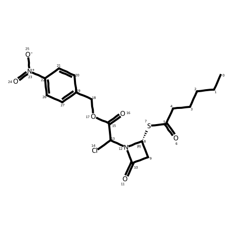 CCCCCC(=O)S[C@@H]1CC(=O)N1C(Cl)C(=O)OCc1ccc([N+](=O)[O-])cc1